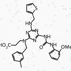 COc1ccccc1NC(=O)Nc1nc(NCc2cccs2)nc(N(CCC(=O)O)Cc2cccc(C)c2)n1